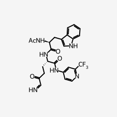 CC(=O)N[C@@H](Cc1c[nH]c2ccccc12)C(=O)N[C@@H](CCC(=O)C=N)C(=O)Nc1ccnc(C(F)(F)F)c1